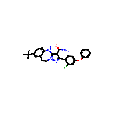 CC(C)(C)c1ccc2c(c1)CCn1nc(-c3ccc(Oc4ccccc4)cc3F)c(C(N)=O)c1N2